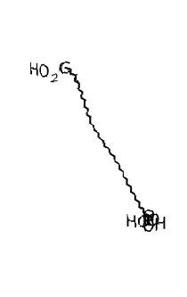 O=C(O)CCCCCCCCCCCCCCCCCCCCCCCCCCCCCCCCCCCCCCOP(=O)(O)O